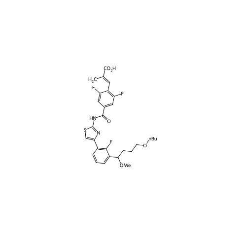 CCCCOCCCC(OC)c1cccc(-c2csc(NC(=O)c3cc(F)c(/C=C(\C)C(=O)O)c(F)c3)n2)c1F